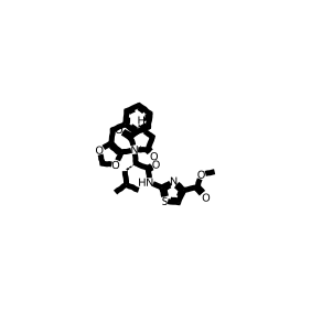 COC(=O)c1csc(NC(=O)[C@H](CC(C)C)[N+]2(C3=C(Cc4ccccc4)OCO3)C(=O)CNC2=O)n1